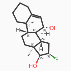 C[C@]12CC[C@H]3[C@@H]([C@@H](O)C=C4CCCC[C@@]43C)[C@@H]1C[C@@H](F)[C@H]2O